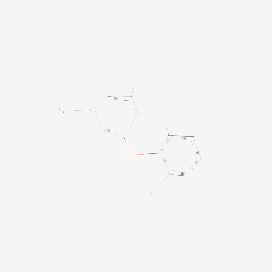 CCc1ccc(Cl)c(Oc2cc(Cl)cc(C#N)c2)c1F